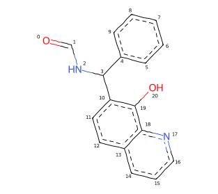 O=CNC(c1ccccc1)c1ccc2cccnc2c1O